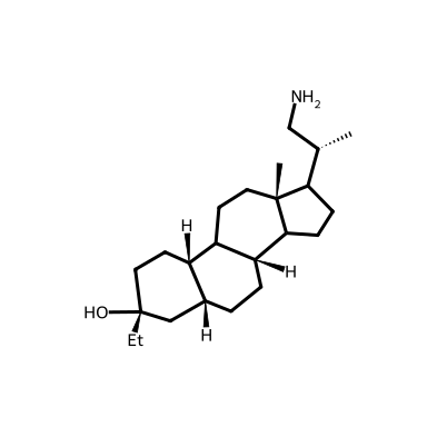 CC[C@@]1(O)CC[C@@H]2C3CC[C@@]4(C)C(CCC4[C@@H](C)CN)[C@@H]3CC[C@@H]2C1